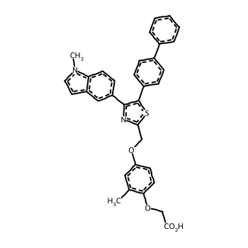 Cc1cc(OCc2nc(-c3ccc4c(ccn4C)c3)c(-c3ccc(-c4ccccc4)cc3)s2)ccc1OCC(=O)O